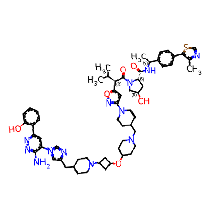 Cc1ncsc1-c1ccc([C@H](C)NC(=O)[C@@H]2C[C@@H](O)CN2C(=O)[C@@H](c2cc(N3CCC(CN4CCC(OC5CC(N6CCC(Cc7cn(-c8cc(-c9ccccc9O)nnc8N)cn7)CC6)C5)CC4)CC3)no2)C(C)C)cc1